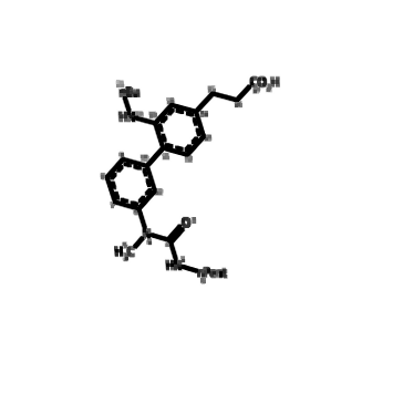 CCCCCNC(=O)N(C)c1cccc(-c2ccc(CCC(=O)O)cc2NCCCC)c1